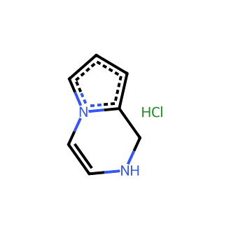 C1=Cn2cccc2CN1.Cl